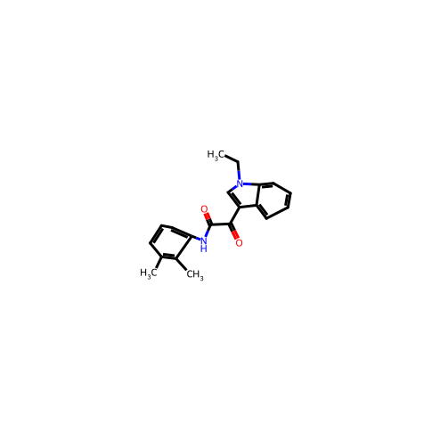 CCn1cc(C(=O)C(=O)Nc2cccc(C)c2C)c2ccccc21